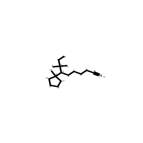 CCC(C)(C)C(CCCCC#N)C1(C)CCCC1